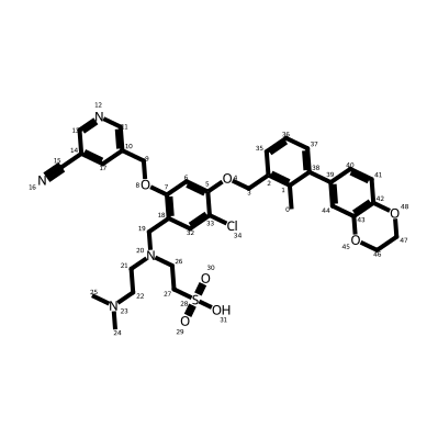 Cc1c(COc2cc(OCc3cncc(C#N)c3)c(CN(CCN(C)C)CCS(=O)(=O)O)cc2Cl)cccc1-c1ccc2c(c1)OCCO2